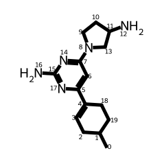 CC1CC=C(c2cc(N3CCC(N)C3)nc(N)n2)CC1